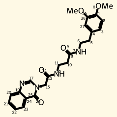 COc1ccc(CCNC(=O)CCNC(=O)Cn2cnc3ccccc3c2=O)cc1OC